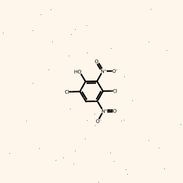 O=[N+]([O-])c1cc(Cl)c(O)c([N+](=O)[O-])c1Cl